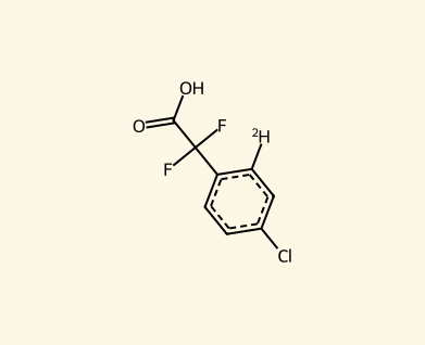 [2H]c1cc(Cl)ccc1C(F)(F)C(=O)O